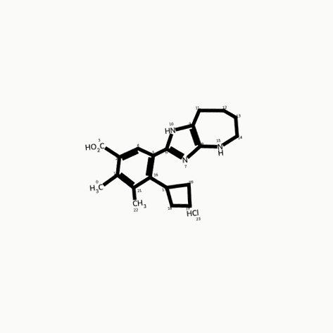 Cc1c(C(=O)O)cc(-c2nc3c([nH]2)CCCCN3)c(C2CCC2)c1C.Cl